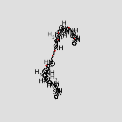 Cc1ccc(S(=O)(=O)Nc2ccc(NNOC(=O)Cn3nnn(-c4ccccc4)c3=S)cc2)c(C)c1NC(=O)C[n+]1cccc(CONCCCCCCCCNC(=O)c2ccc[n+](CC(=O)Nc3c(C)ccc(S(=O)(=O)Nc4ccc(NNC(=O)OCn5nnn(-c6ccccc6)c5=S)cc4)c3C)c2)c1